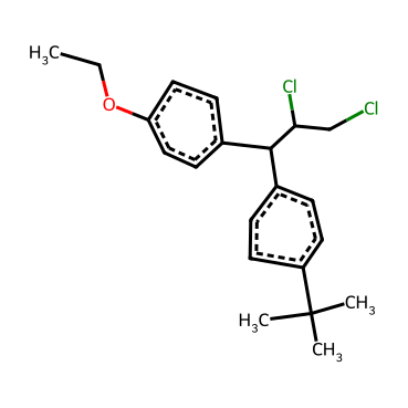 CCOc1ccc(C(c2ccc(C(C)(C)C)cc2)C(Cl)CCl)cc1